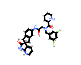 O=C(CN(Cc1cc(F)cc(F)c1)C(=O)C1CCCCN1)Nc1ccc2c(c1)CC1(C2)C(=O)Nc2ncccc21